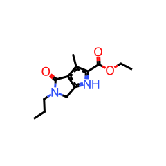 CCCN1Cc2[nH]c(C(=O)OCC)c(C)c2C1=O